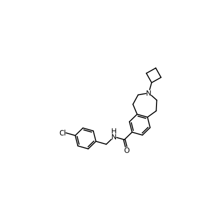 O=C(NCc1ccc(Cl)cc1)c1ccc2c(c1)CCN(C1CCC1)CC2